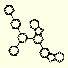 c1ccc(-c2ccc(-c3nc(-c4ccccc4)nc(-c4cc(-c5ccc6oc7ccccc7c6c5)cc5oc6ccccc6c45)n3)cc2)cc1